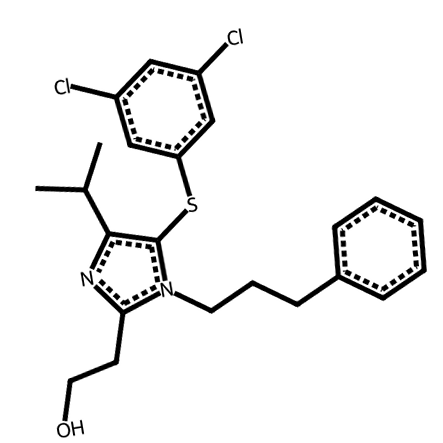 CC(C)c1nc(CCO)n(CCCc2ccccc2)c1Sc1cc(Cl)cc(Cl)c1